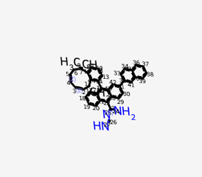 C=C1/C=C\C=C/CC(C)(C)c2cccc(-c3c4ccccc4c(/C(N)=N/C=N)c4ccc(-c5ccc6ccccc6c5)cc34)c21